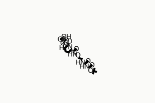 CC(C)(C)OC(=O)NC(=O)NCCONC(=O)[C@@H]1CC[C@H]2CN1C(=O)N2OS(=O)(=O)O